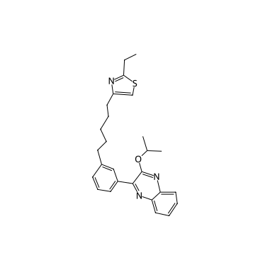 CCc1nc(CCCCCc2cccc(-c3nc4ccccc4nc3OC(C)C)c2)cs1